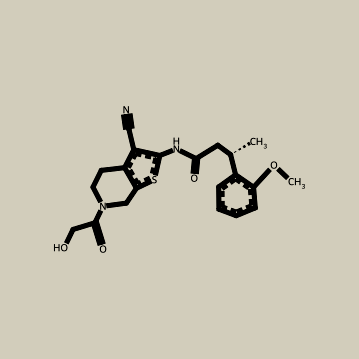 COc1ccccc1[C@@H](C)CC(=O)Nc1sc2c(c1C#N)CCN(C(=O)CO)C2